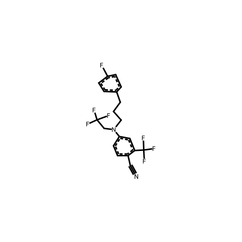 N#Cc1ccc(N(CCCc2ccc(F)cc2)CC(F)(F)F)cc1C(F)(F)F